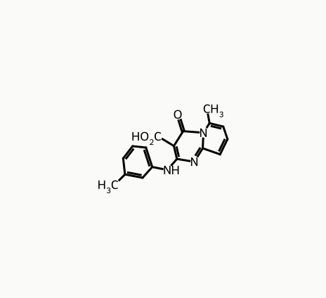 Cc1cccc(Nc2nc3cccc(C)n3c(=O)c2C(=O)O)c1